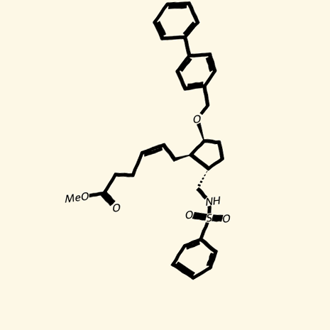 COC(=O)CC/C=C\C[C@@H]1[C@@H](CNS(=O)(=O)c2ccccc2)CC[C@@H]1OCc1ccc(-c2ccccc2)cc1